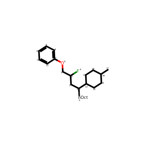 CCCCCCCCC(CC(F)COc1ccccc1)C1CCC(C)CC1